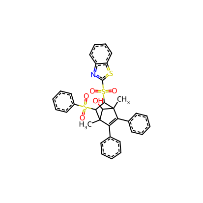 CC12C(c3ccccc3)=C(c3ccccc3)C(C)(C1O)C(S(=O)(=O)c1nc3ccccc3s1)C2S(=O)(=O)c1ccccc1